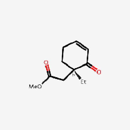 CC[C@@]1(CC(=O)OC)CCC=CC1=O